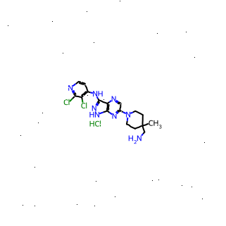 CC1(CN)CCN(c2cnc3c(Nc4ccnc(Cl)c4Cl)n[nH]c3n2)CC1.Cl